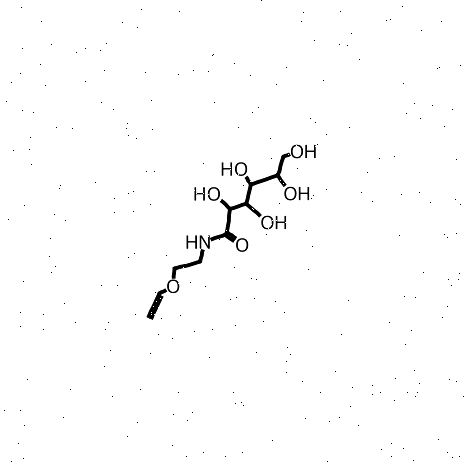 C=COCCNC(=O)C(O)C(O)C(O)C(O)CO